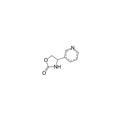 O=C1NC(c2cccnc2)CO1